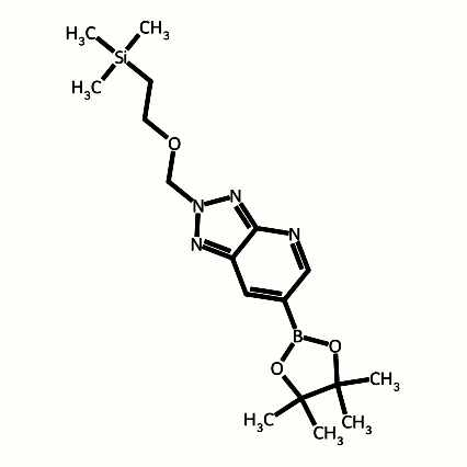 CC1(C)OB(c2cnc3nn(COCC[Si](C)(C)C)nc3c2)OC1(C)C